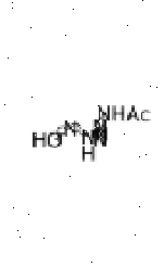 CC(=O)NC1CCN(c2cc(NCCC3CCCN(C4CCCC(CO)C4)C3)cnn2)CC1